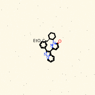 CCOC(=O)C[C@H]1CCCC[C@H]1n1nc(-c2c(-c3ccccc3)nn3ccccc23)ccc1=O